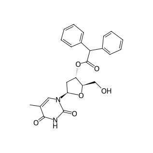 Cc1cn([C@H]2C[C@H](OC(=O)C(c3ccccc3)c3ccccc3)[C@@H](CO)O2)c(=O)[nH]c1=O